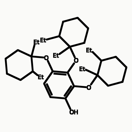 CCC1CCCCC1(CC)Oc1ccc(O)c(OC2(CC)CCCCC2CC)c1OC1(CC)CCCCC1CC